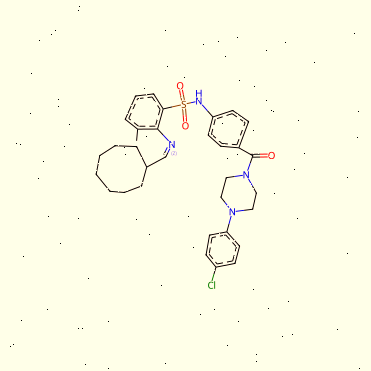 Cc1cccc(S(=O)(=O)Nc2ccc(C(=O)N3CCN(c4ccc(Cl)cc4)CC3)cc2)c1/N=C\C1CCCCCCC1